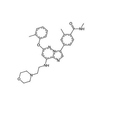 CNC(=O)c1ccc(-c2cnc3c(NCCN4CCOCC4)cc(Oc4ccccc4C)nn23)cc1C